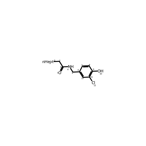 CCCCCCCCC(=O)NCc1ccc(O)c(Cl)c1